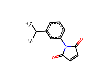 [CH2]C(C)c1cccc(N2C(=O)C=CC2=O)c1